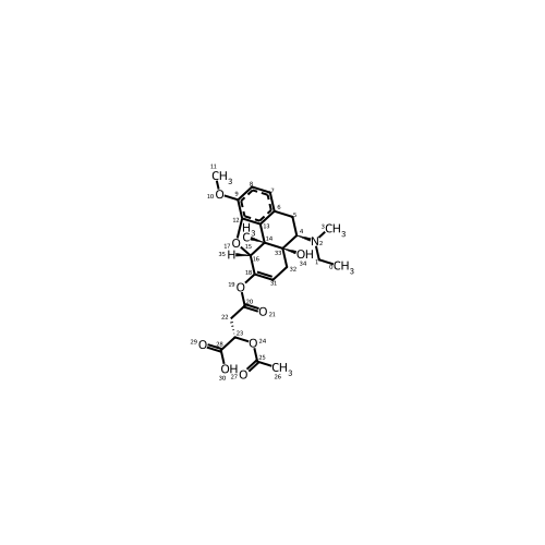 CCN(C)[C@@H]1Cc2ccc(OC)c3c2[C@@]2(C)[C@@H](O3)C(OC(=O)C[C@H](OC(C)=O)C(=O)O)=CC[C@@]12O